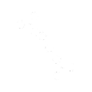 c1ccc(N(c2ccccc2)c2ccc(-c3c4c(c(-c5ccc6cc(N(c7ccccc7)c7ccccc7)ccc6c5)c5c3CCCC5)CCCC4)cc2)cc1